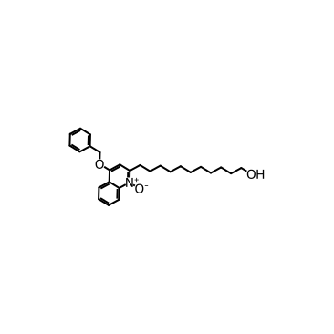 [O-][n+]1c(CCCCCCCCCCCO)cc(OCc2ccccc2)c2ccccc21